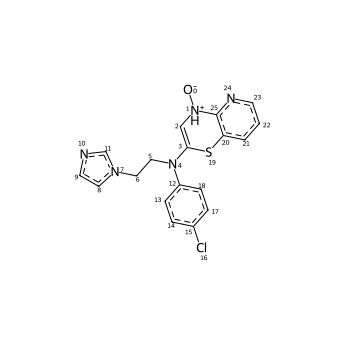 [O-][NH+]1C=C(N(CCn2ccnc2)c2ccc(Cl)cc2)Sc2cccnc21